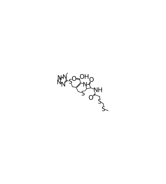 CSCSCC(=O)NC1C(=O)N2C(C(=O)O)=C(CSc3nnnn3C)CSC12